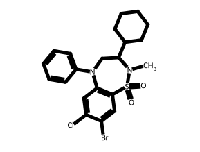 CN1C(C2CCCCC2)CN(c2ccccc2)c2cc(Cl)c(Br)cc2S1(=O)=O